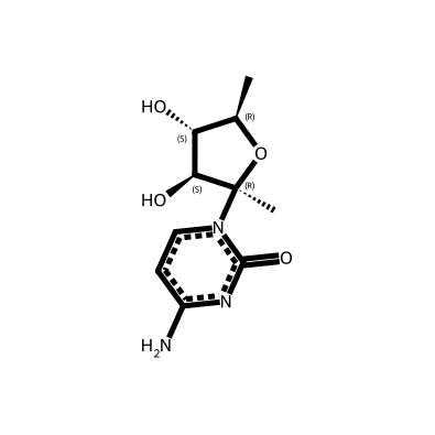 C[C@H]1O[C@@](C)(n2ccc(N)nc2=O)[C@@H](O)[C@@H]1O